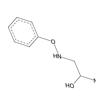 O=NC(O)CNOc1ccccc1